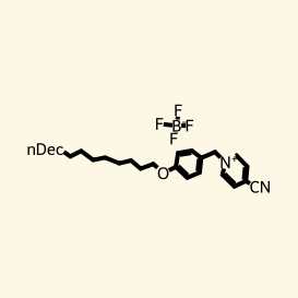 CCCCCCCCCCCCCCCCCCOc1ccc(C[n+]2ccc(C#N)cc2)cc1.F[B-](F)(F)F